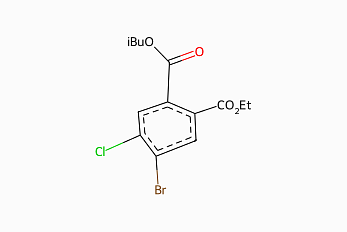 CCOC(=O)c1cc(Br)c(Cl)cc1C(=O)OCC(C)C